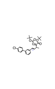 CC(/C=C/c1cccc(-c2ccc(Cl)cc2)c1)N(OC(=O)OC(C)(C)C)C(=O)OC(C)(C)C